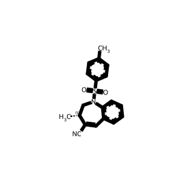 Cc1ccc(S(=O)(=O)N2C[C@@H](C)C(C#N)=Cc3ccccc32)cc1